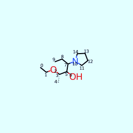 CCO[C@@H](C)C(O)C(CC)N1CCCC1